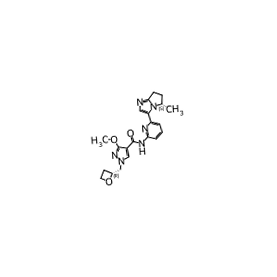 COc1nn(C[C@H]2CCO2)cc1C(=O)Nc1cccc(-c2cnc3n2[C@@H](C)CC3)n1